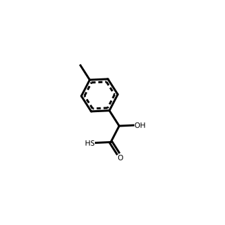 Cc1ccc(C(O)C(=O)S)cc1